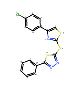 Clc1ccc(-c2csc(Sc3nnc(-c4ccccc4)s3)n2)cc1